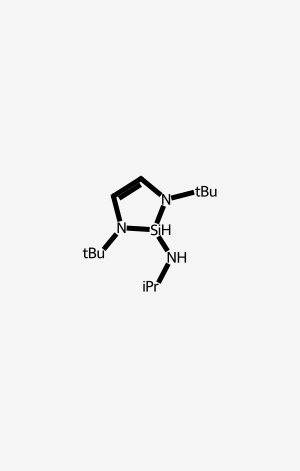 CC(C)N[SiH]1N(C(C)(C)C)C=CN1C(C)(C)C